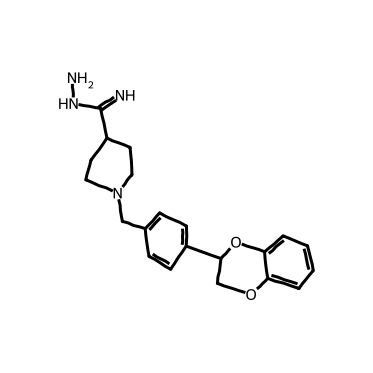 N=C(NN)C1CCN(Cc2ccc(C3COc4ccccc4O3)cc2)CC1